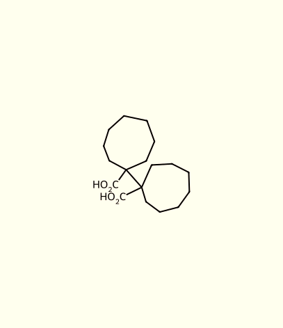 O=C(O)C1(C2(C(=O)O)CCCCCCC2)CCCCCCC1